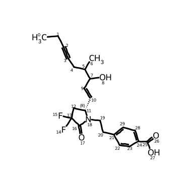 CCC#CCC(C)C(O)C=C[C@H]1CC(F)(F)C(=O)N1CCc1ccc(C(=O)O)cc1